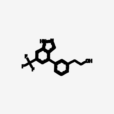 OCCc1cccc(-c2cc(C(F)(F)F)cc3[nH]ncc23)c1